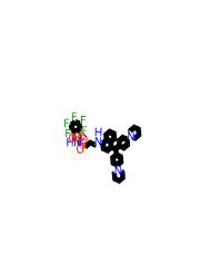 O=S(=O)(CCCNc1ccc(C(=C2C=CC(=[N+]3CCCCC3)C=C2)c2ccc(N3CCCCC3)cc2)c2ccccc12)NS(=O)(=O)c1c(F)c(F)c(F)c(F)c1F